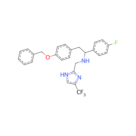 Fc1ccc(C(Cc2ccc(OCc3ccccc3)cc2)NCc2nc(C(F)(F)F)c[nH]2)cc1